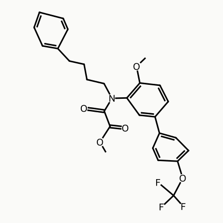 COC(=O)C(=O)N(CCCCc1ccccc1)c1cc(-c2ccc(OC(F)(F)F)cc2)ccc1OC